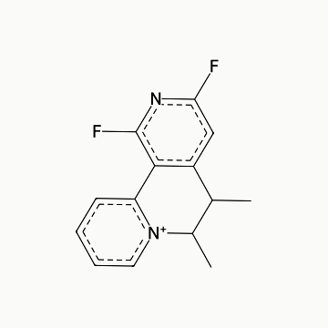 CC1c2cc(F)nc(F)c2-c2cccc[n+]2C1C